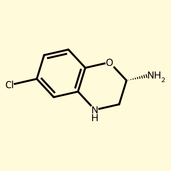 N[C@@H]1CNc2cc(Cl)ccc2O1